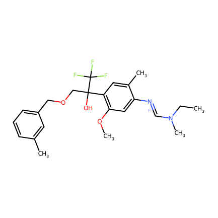 CCN(C)/C=N/c1cc(OC)c(C(O)(COCc2cccc(C)c2)C(F)(F)F)cc1C